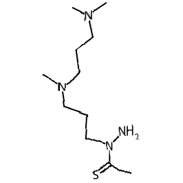 CC(=S)N(N)CCCN(C)CCCN(C)C